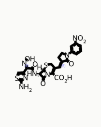 Nc1nc(/C(=N/O)C(=O)N[C@@H]2C(=O)N3C(C(=O)O)=C(/C=C4\CCN(c5cccc([N+](=O)[O-])c5)C4=O)CS[C@H]23)cs1